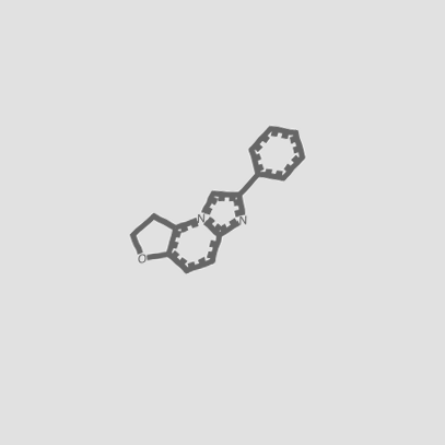 c1ccc(-c2cn3c4c(ccc3n2)OCC4)cc1